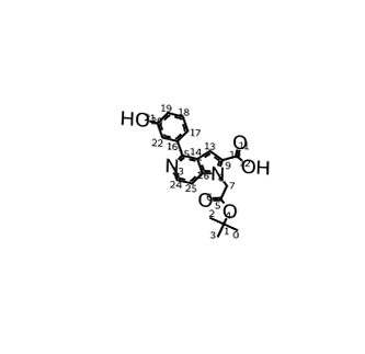 CC(C)(C)OC(=O)Cn1c(C(=O)O)cc2c(-c3cccc(O)c3)nccc21